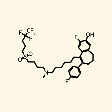 CN(CCCCCCC1=C(c2ccc(F)cc2)CCCc2cc(O)c(F)cc21)CCCCS(=O)(=O)CCCC(F)(F)C(F)(F)F